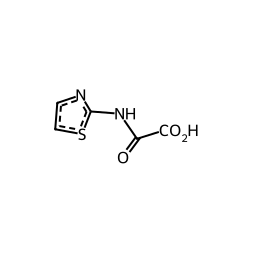 O=C(O)C(=O)Nc1nccs1